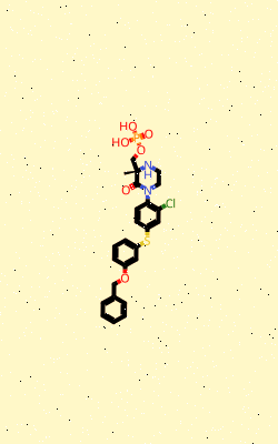 C[C@@]1(COP(=O)(O)O)NCCN(c2ccc(Sc3cccc(OCc4ccccc4)c3)cc2Cl)C1=O